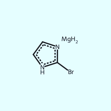 Brc1ncc[nH]1.[MgH2]